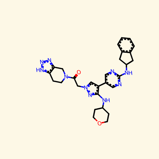 O=C(Cn1cc(-c2cnc(NC3Cc4ccccc4C3)nc2)c(NC2CCOCC2)n1)N1CCc2[nH]nnc2C1